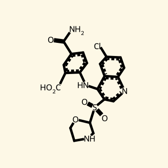 NC(=O)c1ccc(Nc2c(S(=O)(=O)C3CNCCO3)cnc3ccc(Cl)cc23)c(C(=O)O)c1